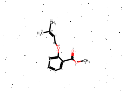 COC(=O)c1ccccc1OCC=C(C)C